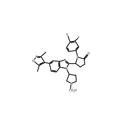 Cc1noc(C)c1-c1ccc2c(c1)nc(C1CCC(=O)N1c1ccc(F)c(F)c1)n2C1CCN(C(=O)O)C1